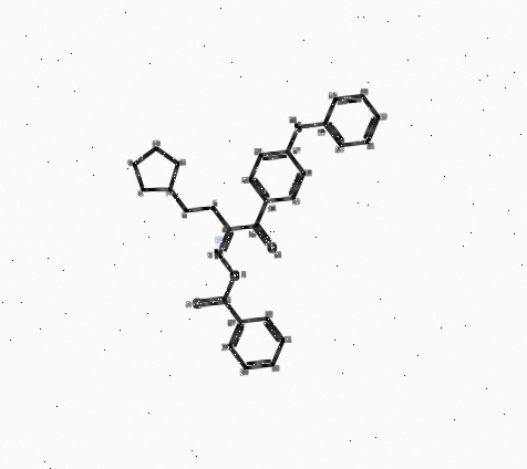 O=C(O/N=C(/CCC1CCCC1)C(=O)c1ccc(Sc2ccccc2)cc1)c1ccccc1